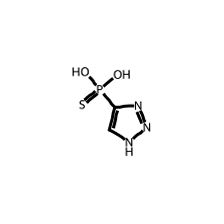 OP(O)(=S)c1c[nH]nn1